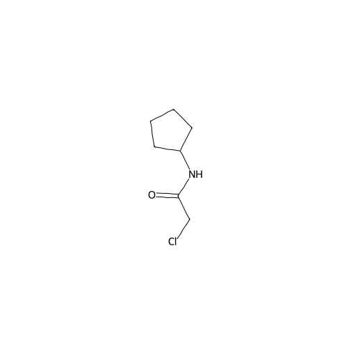 O=C(CCl)NC1CCCC1